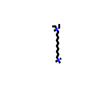 CC[N+](C)(CC)CCCCCCCCCC[N+](C)(C)C